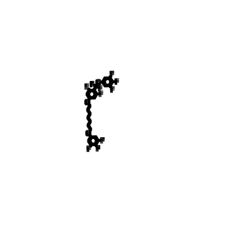 Fc1cc(OCCCCCCCOc2cc(F)c(C(F)(F)Oc3cc(F)c(F)c(F)c3)c(F)c2)cc(F)c1F